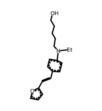 CCN(CCCCCO)c1ccc(C=Cc2ccco2)cc1